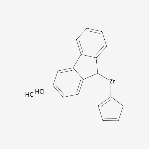 C1=CC[C]([Zr][CH]2c3ccccc3-c3ccccc32)=C1.Cl.Cl